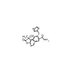 CC1(C)C(=O)Oc2ccc3cc(C(N)=O)c(Cn4cncn4)cc3c21